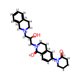 O=C1c2ccc(N3CCCCC3=O)cc2CCN1CC(O)CN1CCc2ccccc2C1